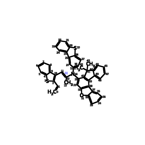 C=Cc1sc2ccccc2c1/C=C(\C)N(c1ccc2sc3ccccc3c2c1)c1cc2oc3ccccc3c2c2c1C(C)(C)c1ccccc1-2